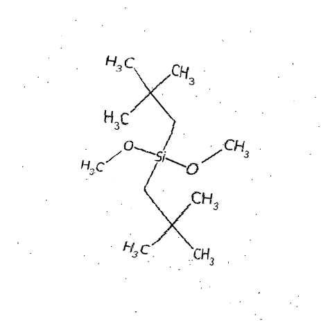 CO[Si](CC(C)(C)C)(CC(C)(C)C)OC